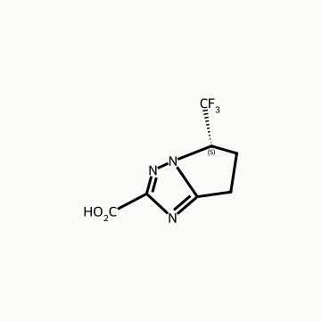 O=C(O)c1nc2n(n1)[C@H](C(F)(F)F)CC2